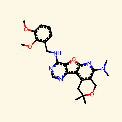 COc1cccc(CNc2ncnc3c2oc2nc(N(C)C)c4c(c23)CC(C)(C)OC4)c1OC